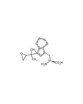 CC(C)(C1CO1)n1cc(C[C@H](N)C(=O)O)c2ccccc21